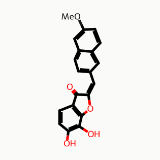 COc1ccc2cc(C=C3Oc4c(ccc(O)c4O)C3=O)ccc2c1